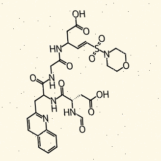 O=CN[C@@H](CC(=O)O)C(=O)NC(Cc1ccc2ccccc2n1)C(=O)NCC(=O)NC(/C=C/S(=O)(=O)N1CCOCC1)CC(=O)O